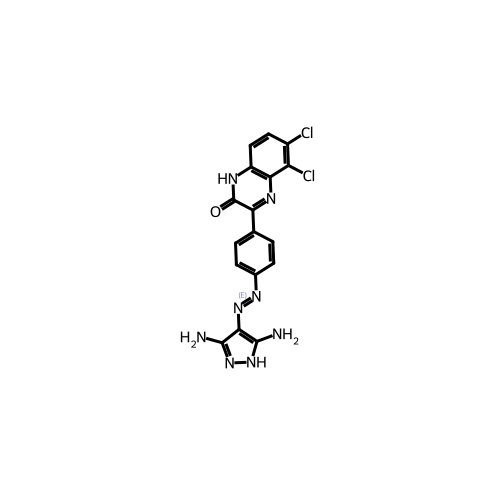 Nc1n[nH]c(N)c1/N=N/c1ccc(-c2nc3c(Cl)c(Cl)ccc3[nH]c2=O)cc1